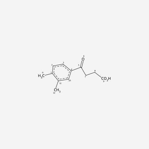 Cc1ccc(C(=O)CCC(=O)O)cc1C